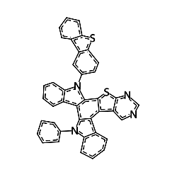 c1ccc(-n2c3ccccc3c3c4c5cncnc5sc4c4c(c5ccccc5n4-c4ccc5sc6ccccc6c5c4)c32)cc1